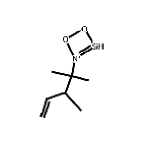 C=CC(C)C(C)(C)[n+]1oo[siH]1